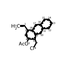 C=Cc1cc(OC(C)=O)c(CCl)c2cc3ccccc3cc12